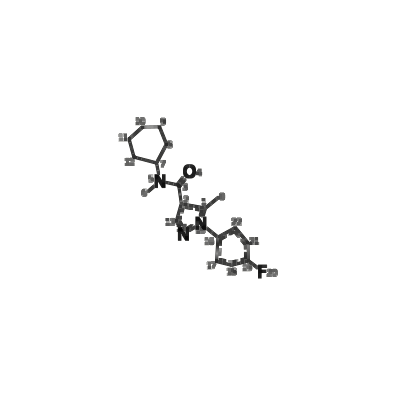 Cc1c(C(=O)N(C)C2CCCCC2)cnn1-c1ccc(F)cc1